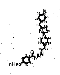 CCCCCCc1ccc(C(=O)N=[N+]=NCCN2CCN(c3nc(Cc4ccc(F)cc4)ns3)CC2)cc1